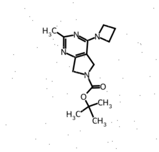 Cc1nc2c(c(N3CCC3)n1)CN(C(=O)OC(C)(C)C)C2